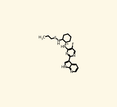 CCCSNC1CCCC[C@H]1Nc1nc(-c2c[nH]c3ncccc23)ncc1F